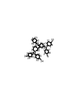 Cc1ccc(N(c2ccc(C)cc2)c2ccc3c(c2)c2cc(N(c4ccc(C)cc4)c4ccc(C)cc4)ccc2n3-c2ccccc2)cc1